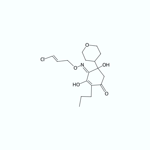 CCCC1=C(O)C(=NOC/C=C/Cl)C(O)(C2CCOCC2)CC1=O